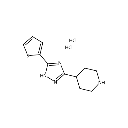 Cl.Cl.c1csc(-c2nc(C3CCNCC3)n[nH]2)c1